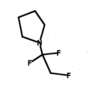 FCC(F)(F)N1CCCC1